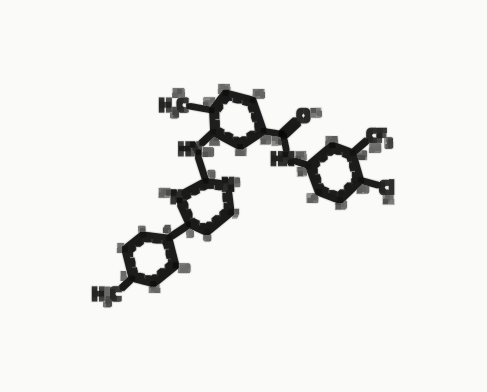 Cc1ccc(-c2ccnc(Nc3cc(C(=O)Nc4ccc(Cl)c(C(F)(F)F)c4)ccc3C)n2)cc1